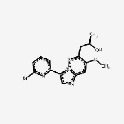 COc1cc2ncc(-c3cccc(Br)n3)n2nc1CC(C)O